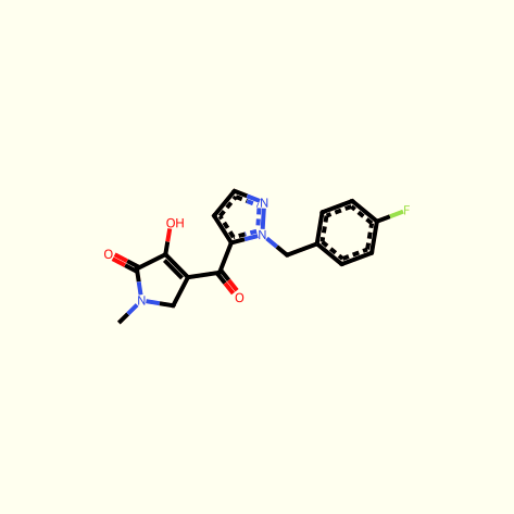 CN1CC(C(=O)c2ccnn2Cc2ccc(F)cc2)=C(O)C1=O